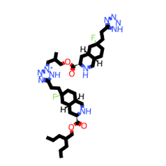 CCCC(CCC)COC(=O)[C@@H]1C[C@H]2C[C@@](F)(CCc3nn[n+](CC(C)COC(=O)[C@@H]4C[C@H]5C[C@@](F)(CCc6nnn[nH]6)CC[C@H]5CN4)[nH]3)CC[C@H]2CN1